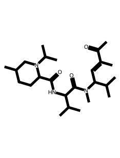 CC(=O)/C(C)=C/C(C(C)C)N(C)C(=O)C(NC(=O)C1CCC(C)CN1C(C)C)C(C)C